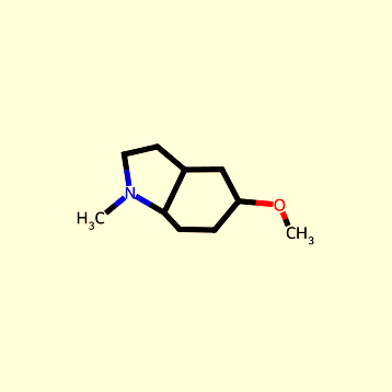 COC1CCC2C(CCN2C)C1